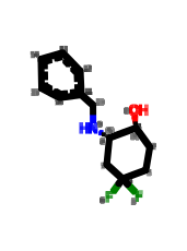 O[C@H]1CCC(F)(F)C[C@@H]1NCc1ccccc1